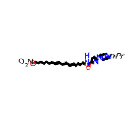 CCCN1CCN(c2ccc(C(=O)NCCCCCCCCCCCCCCCCCCO[N+](=O)[O-])cn2)CC1